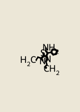 C=CCc1nc(CC=C)c2sc(N)c(-c3ccccc3)c2n1